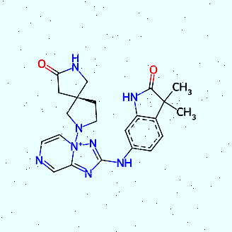 CC1(C)C(=O)Nc2cc(NC3=N[N+]4(N5CC[C@@]6(CNC(=O)C6)C5)C=CN=CC4=N3)ccc21